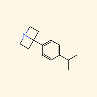 CC(C)c1ccc(C23CCN2CC3)cc1